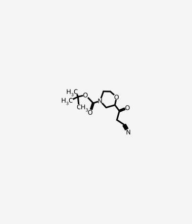 CC(C)(C)OC(=O)N1CCOC(C(=O)CC#N)C1